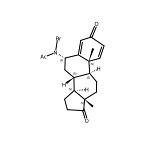 CC(=O)N(Br)[C@H]1C[C@@H]2[C@H](CC[C@]3(C)C(=O)CC[C@@H]23)[C@@]2(C)C=CC(=O)C=C12